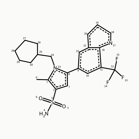 Cc1c(S(N)(=O)=O)cc(-c2cc(C(F)(F)F)c3ncccc3c2)n1CC1CCCCC1